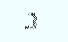 COCCOCCOCCOc1ccc(N=O)cc1